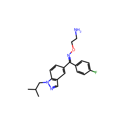 CC(C)Cn1ncc2cc(C(=NOCCN)c3ccc(F)cc3)ccc21